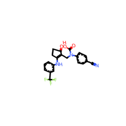 N#Cc1ccc(N(CC2=C(Nc3cccc(C(F)(F)F)c3)CCC2=O)C(=O)O)cc1